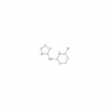 Brc1cccc(Nc2nccs2)n1